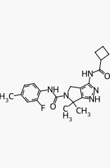 Cc1ccc(NC(=O)N2Cc3c(NC(=O)C4CCC4)n[nH]c3C2(C)C)c(F)c1